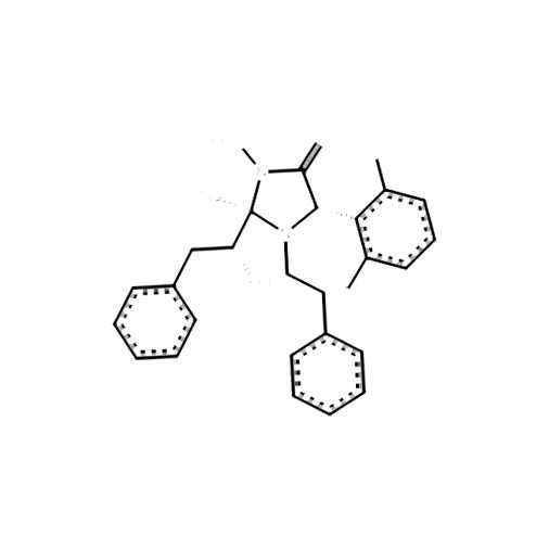 CC(C)(C)[C@]1([C@H](O)Cc2ccccc2)N(C(=O)O)C(=O)[C@H](c2c(Cl)cccc2Cl)N1CCc1ccccc1